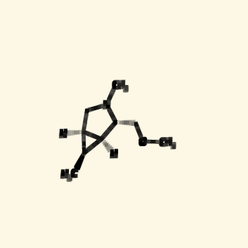 COC[C@@H]1[C@H]2[C@@H](C)[C@H]2CN1C